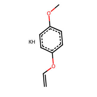 C=COc1ccc(OC)cc1.[KH]